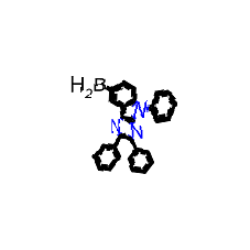 Bc1ccc2c(c1)c1nc(-c3ccccc3)c(-c3ccccc3)nc1n2-c1ccccc1